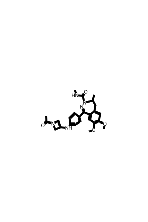 CNC(=O)N1N=C(c2ccc(NC3CN(C(C)=O)C3)cc2)c2cc(OC)c(OC)cc2CC1C